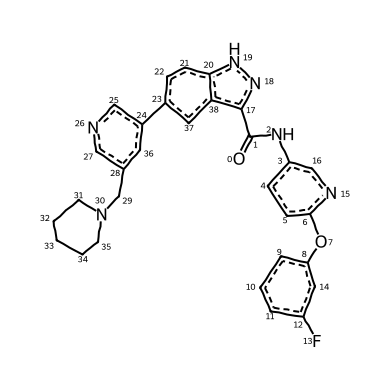 O=C(Nc1ccc(Oc2cccc(F)c2)nc1)c1n[nH]c2ccc(-c3cncc(CN4CCCCC4)c3)cc12